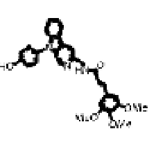 COc1cc(/C=C/C(=O)NCc2cc3c4ccccc4n(-c4ccc(O)cc4)c3cn2)cc(OC)c1OC